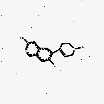 CC(=O)N1CC=C(c2cc3cc(N)ncc3cc2Cl)CC1